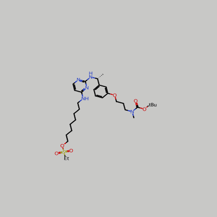 CCS(=O)(=O)OCCCCCCCCNc1ccnc(N[C@H](C)c2cccc(OCCCN(C)C(=O)OC(C)(C)C)c2)n1